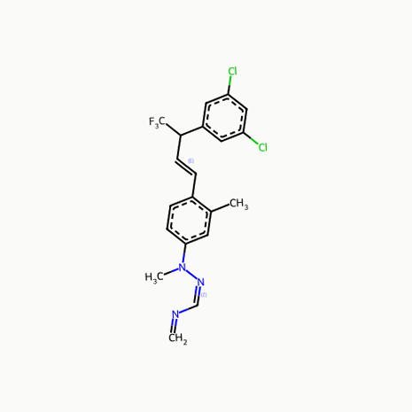 C=N/C=N\N(C)c1ccc(/C=C/C(c2cc(Cl)cc(Cl)c2)C(F)(F)F)c(C)c1